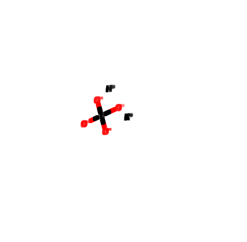 [H+].[K+].[O-][Ti]([O-])([O-])[O-]